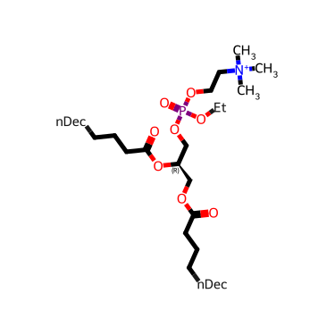 CCCCCCCCCCCCCC(=O)OC[C@H](COP(=O)(OCC)OCC[N+](C)(C)C)OC(=O)CCCCCCCCCCCCC